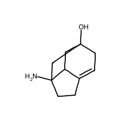 NC12CCC3=CCC(O)(CC31)C2